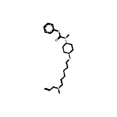 C=CCN(C)CCCCCCO[C@H]1CC[C@H](N(C)C(=O)Oc2ccccc2)CC1